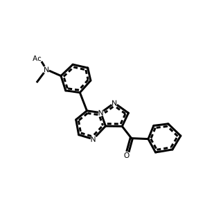 CC(=O)N(C)c1cccc(-c2ccnc3c(C(=O)c4ccccc4)cnn23)c1